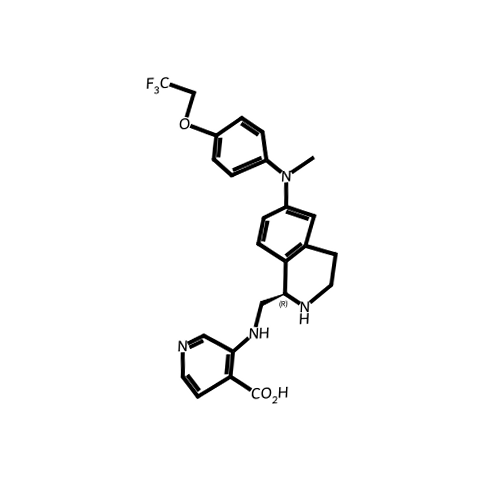 CN(c1ccc(OCC(F)(F)F)cc1)c1ccc2c(c1)CCN[C@H]2CNc1cnccc1C(=O)O